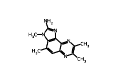 Cc1nc2cc(C)c3c(nc(N)n3C)c2nc1C